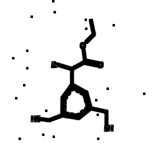 CCOC(=O)C(Br)c1cc(CS)cc(CS)c1